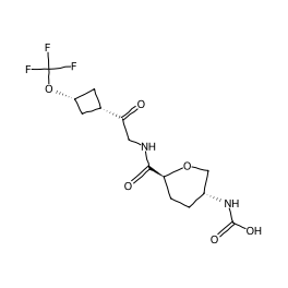 O=C(O)N[C@@H]1CC[C@@H](C(=O)NCC(=O)[C@H]2C[C@@H](OC(F)(F)F)C2)OC1